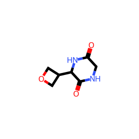 O=C1CNC(=O)C(C2COC2)N1